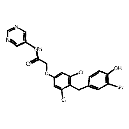 CC(C)c1cc(Cc2c(Cl)cc(OCC(=O)Nc3cncnc3)cc2Cl)ccc1O